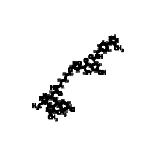 Cc1ncsc1-c1ccc(CNC(=O)[C@@H]2C[C@@H](O)CN2C(=O)[C@H](c2cc(OCCCCCNC(=O)CC3N=C(c4ccc(Cl)cc4)c4c(sc(C)c4C)-n4c(C)nnc43)no2)C(C)C)cc1